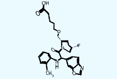 Cc1ccccc1NC(C(=O)N1C[C@@H](F)C[C@H]1COCCCCC(=O)O)c1ccc2ncoc2c1